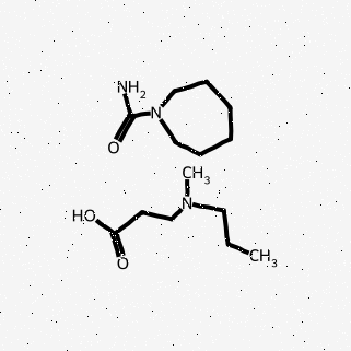 CCCN(C)CCC(=O)O.NC(=O)N1CCCCCC1